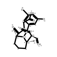 C=C[C@@H]1CN(CC(=O)O)C(=O)[C@@H]2CCC[C@H]1N2S(=O)(=O)c1cc(Cl)cc(Cl)c1